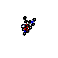 C=C1/C=C\C=C/Cc2ccc(-n3c4ccccc4c4ccc(-c5ccc(-c6cccc(N(c7ccccc7)c7ccc(-c8cccc(-c9ccccc9)c8)cc7)c6)cc5)cc43)cc2C1(c1ccccc1)c1ccccc1